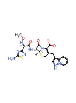 CO/N=C(\C(=O)N[C@@H]1C(=O)N2C(C(=O)[O-])=C(Cc3c[nH][n+]4ccccc34)CS[C@@H]12)c1nsc(N)n1